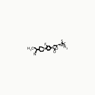 CCC(C#N)=C1CCN(c2ccc(N3C[C@H](CNC(C)=S)OC3=O)cc2F)CC1